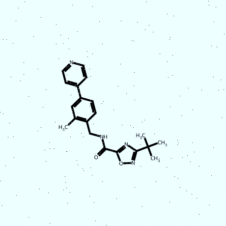 Cc1cc(-c2[c]cncc2)ccc1CNC(=O)c1nc(C(C)(C)C)no1